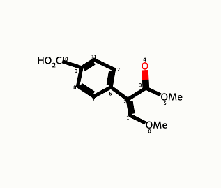 COC=C(C(=O)OC)c1ccc(C(=O)O)cc1